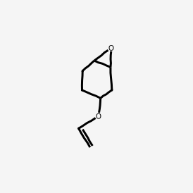 C=COC1CCC2OC2C1